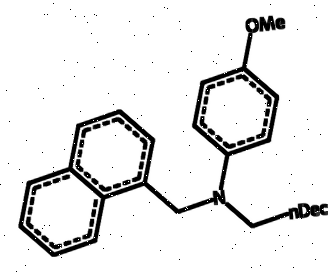 CCCCCCCCCCCN(Cc1cccc2ccccc12)c1ccc(OC)cc1